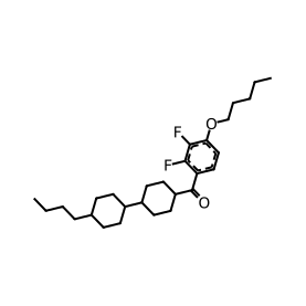 CCCCCOc1ccc(C(=O)C2CCC(C3CCC(CCCC)CC3)CC2)c(F)c1F